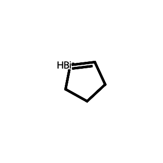 [CH]1=[BiH-][CH2]CC1